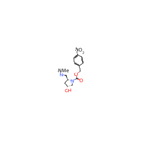 CNN=C[C@@H]1C[C@@H](O)CN1C(=O)OCc1ccc([N+](=O)[O-])cc1